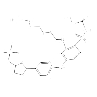 CC(C)(C)OC(=O)NS(=O)(=O)c1ccc(Nc2ncc(C3CCC(O[Si](C)(C)C(C)(C)C)C3)cn2)cc1NCCCCCNC(=O)O